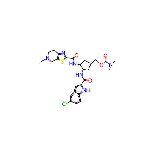 CN1CCc2nc(C(=O)NC3CC(COC(=O)N(C)C)CC3NC(=O)c3cc4cc(Cl)ccc4[nH]3)sc2C1